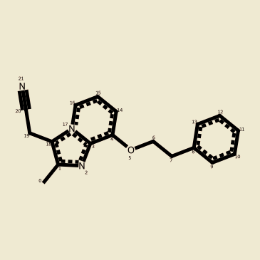 Cc1nc2c(OCCc3ccccc3)cccn2c1CC#N